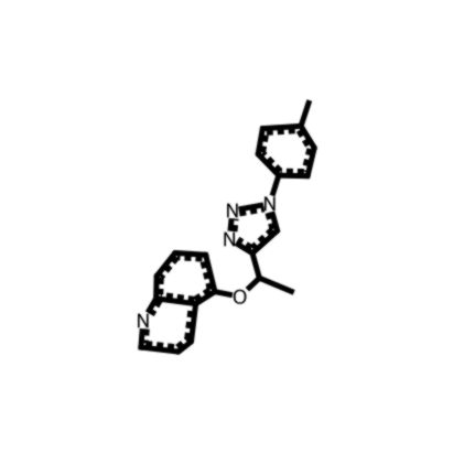 Cc1ccc(-n2cc(C(C)Oc3cccc4ncccc34)nn2)cc1